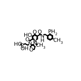 Cc1ccc(CNC(=O)c2cn3c(c(O)c2=O)C(=O)N(CCP(O)O)C2(CCOC2)N3C)c(P)c1